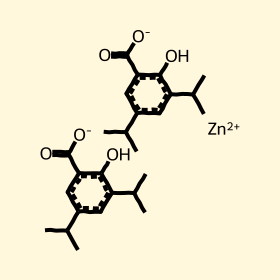 CC(C)c1cc(C(=O)[O-])c(O)c(C(C)C)c1.CC(C)c1cc(C(=O)[O-])c(O)c(C(C)C)c1.[Zn+2]